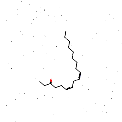 CCCCCCCC/C=C\C/C=C\CCC(=O)CC